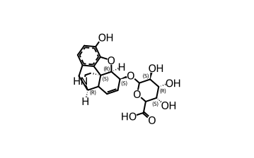 O=C(O)C1OC(O[C@H]2C=CC3[C@H]4Cc5ccc(O)c6c5[C@@]3(CCN4)[C@H]2O6)[C@@H](O)[C@H](O)[C@@H]1O